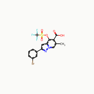 Cc1cn2nc(-c3cccc(Br)c3)cc2c(OS(=O)(=O)C(F)(F)F)c1C(=O)O